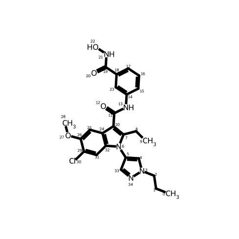 CCCn1cc(-n2c(CC)c(C(=O)Nc3cccc(C(=O)NO)c3)c3cc(OC)c(Cl)cc32)cn1